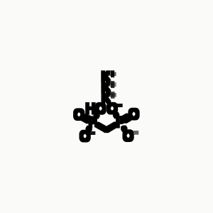 O=P([O-])([O-])CP(=O)([O-])O.[K+].[K+].[K+]